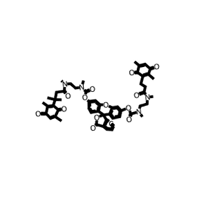 CC1=CC(=O)C(C)=C(CCC(=O)N(C)CCN(C)C(=O)Oc2ccc3c(c2)Oc2cc(OC(=O)N(C)CCN(C)C(=O)CC(C)(C)C4=C(C)C(=O)C=C(C)C4=O)ccc2C32OC(=O)c3ccccc32)C1=O